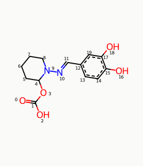 O=C(O)OC1CCCCN1/N=C/c1ccc(O)c(O)c1